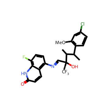 COc1cc(Cl)ccc1C(C)C(C)C(O)(/C=N/c1ccc(F)c2[nH]c(=O)ccc12)C(F)(F)F